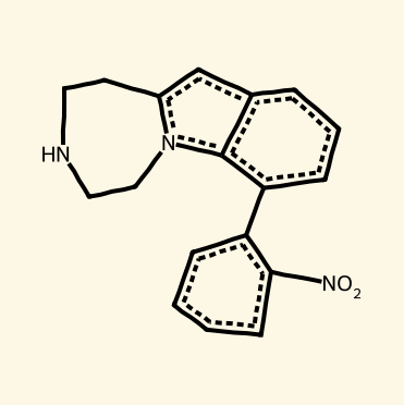 O=[N+]([O-])c1ccccc1-c1cccc2cc3n(c12)CCNCC3